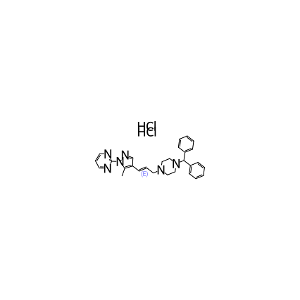 Cc1c(/C=C/CN2CCN(C(c3ccccc3)c3ccccc3)CC2)cnn1-c1ncccn1.Cl.Cl